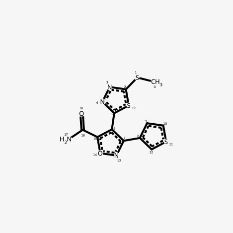 CSc1nnc(-c2c(-c3ccsc3)noc2C(N)=O)s1